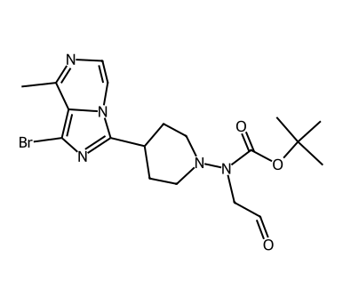 Cc1nccn2c(C3CCN(N(CC=O)C(=O)OC(C)(C)C)CC3)nc(Br)c12